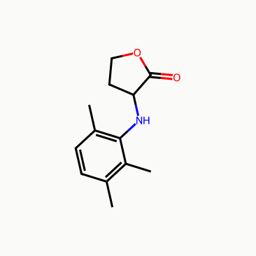 Cc1ccc(C)c(NC2CCOC2=O)c1C